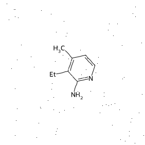 CCc1c(C)ccnc1N